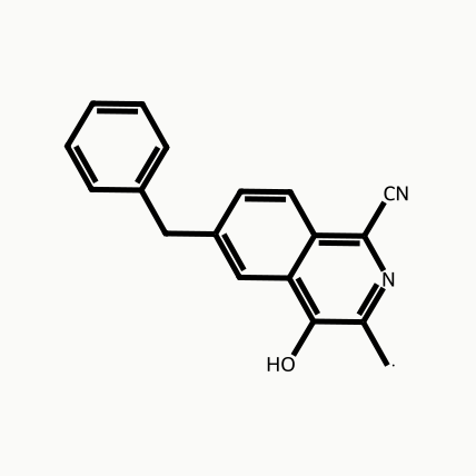 [CH2]c1nc(C#N)c2ccc(Cc3ccccc3)cc2c1O